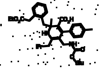 CCOC(=O)Cc1ccccc1CC1(C)NC(CC(C)C)=C(CNC(=O)OC(C)(C)C)C(c2ccc(C)cc2)=C1C(=O)O